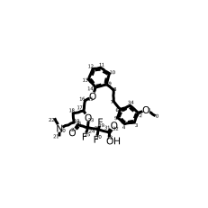 COc1cccc(CCc2ccccc2OCC(CCN(C)C)OC(F)(C=O)C(F)(F)C(=O)O)c1